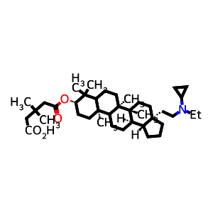 CCN(CC[C@]12CCC[C@@H]1[C@H]1CCC3[C@@]4(C)CC[C@H](OC(=O)CC(C)(C)CC(=O)O)C(C)(C)C4CC[C@@]3(C)[C@]1(C)CC2)C1CC1